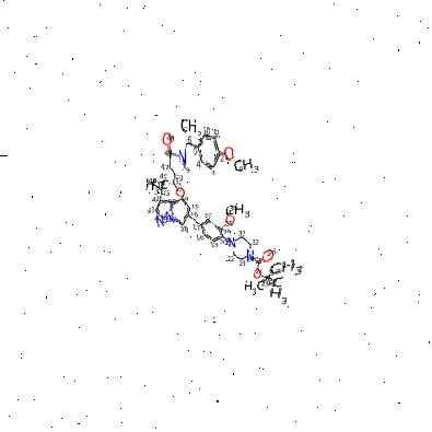 COc1ccc([C@@H](C)N2C[C@H]([C@@H](C)Oc3cc(-c4ccc(N5CCN(C(=O)OC(C)(C)C)CC5)c(OC)c4)cn4ncc(C5CC5)c34)CC2=O)cc1